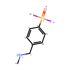 CNCc1ccc(P(=O)(I)I)cc1